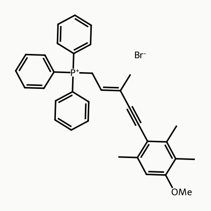 COc1cc(C)c(C#CC(C)=CC[P+](c2ccccc2)(c2ccccc2)c2ccccc2)c(C)c1C.[Br-]